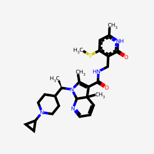 CSc1cc(C)[nH]c(=O)c1CNC(=O)C1=C(C)N([C@H](C)C2CCN(C3CC3)CC2)C2N=CC=CC12C